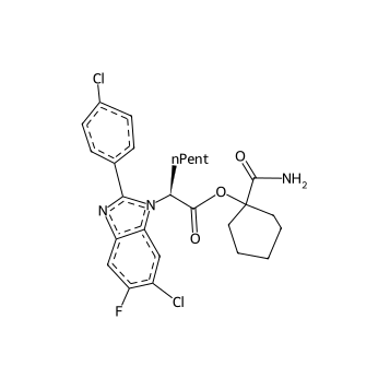 CCCCC[C@@H](C(=O)OC1(C(N)=O)CCCCC1)n1c(-c2ccc(Cl)cc2)nc2cc(F)c(Cl)cc21